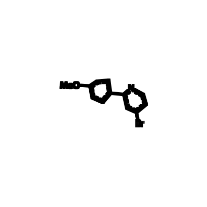 COc1ccc(-c2cc(Br)ccn2)cc1